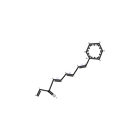 C=CC(=O)/C=C/C=C/C=C/c1ccccc1